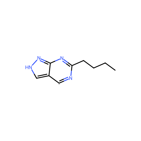 CCCCc1n[c]c2c[nH]nc2n1